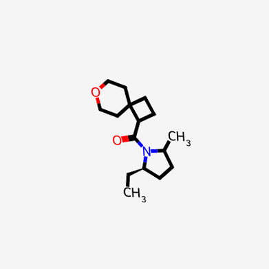 CC[C@@H]1CCC(C)N1C(=O)C1CCC12CCOCC2